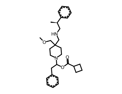 COCC1(CNC[C@@H](C)c2ccccc2)CCN(C(Cc2ccccc2)OC(=O)C2CCC2)CC1